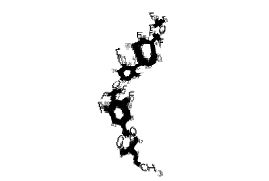 CCCC12COC(c3cc(F)c(C(F)(F)Oc4cc(F)c(-c5ccc(C(F)(F)OC(F)(F)F)c(F)c5)c(F)c4)c(F)c3)(OC1)O2